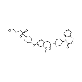 COc1cc(OC2CCN(S(=O)(=O)CCCCl)CC2)ccc1CC(=O)N1CCC(N2C(=O)OCc3ccccc32)CC1